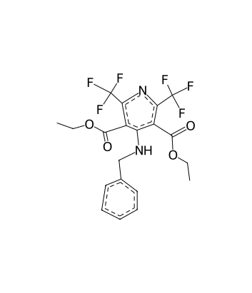 CCOC(=O)c1c(C(F)(F)F)nc(C(F)(F)F)c(C(=O)OCC)c1NCc1ccccc1